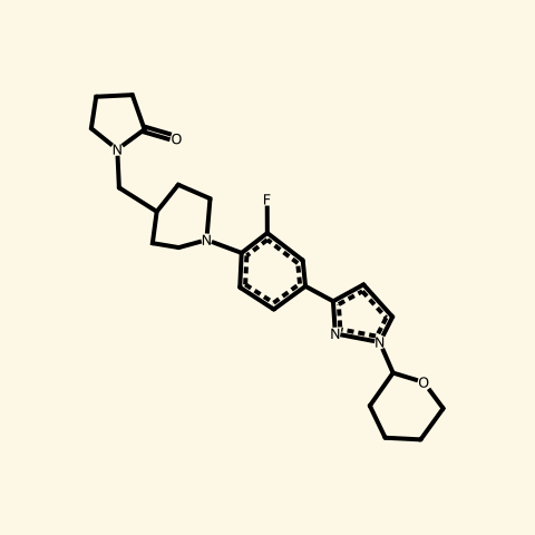 O=C1CCCN1CC1CCN(c2ccc(-c3ccn(C4CCCCO4)n3)cc2F)CC1